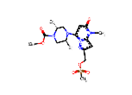 CC[C@@H]1CN(c2cc(=O)n(C)c3cc(COS(C)(=O)=O)nn23)[C@@H](CC)CN1C(=O)OC(C)(C)C